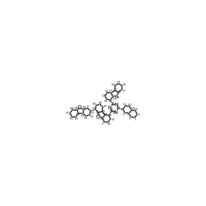 c1ccc2cc(-c3nc(-c4cccc5c4sc4ccccc45)nc(-c4cccc5oc6c(-c7ccc8c(c7)oc7ccccc78)cccc6c45)n3)ccc2c1